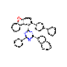 c1ccc(-c2ccc(-c3ccc4oc5ccccc5c4c3-c3nc(-c4ccccc4)nc(-c4ccc5ccccc5c4)n3)cc2)cc1